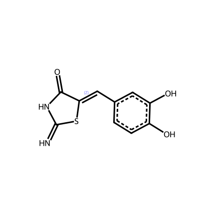 N=C1NC(=O)/C(=C/c2ccc(O)c(O)c2)S1